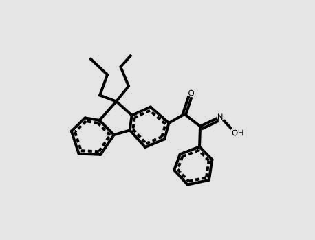 CCCC1(CCC)c2ccccc2-c2ccc(C(=O)/C(=N/O)c3ccccc3)cc21